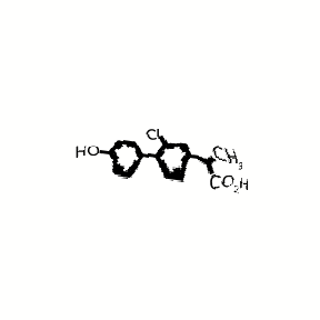 CC(C(=O)O)c1ccc(-c2ccc(O)cc2)c(Cl)c1